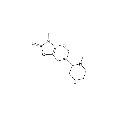 CN1CCNCC1c1ccc2c(c1)oc(=O)n2C